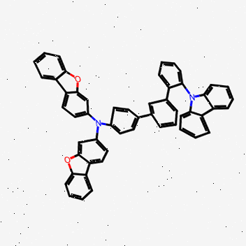 c1cc(-c2ccc(N(c3ccc4c(c3)oc3ccccc34)c3ccc4c(c3)oc3ccccc34)cc2)cc(-c2ccccc2-n2c3ccccc3c3ccccc32)c1